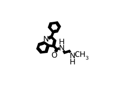 CNCCNC(=O)c1cc(-c2ccccc2)nc2ccccc12